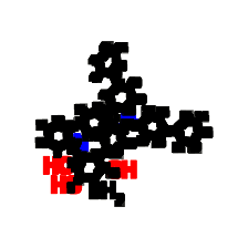 Bc1c(O)c(O)c(-n2c3ccccc3c3ccccc32)c(-c2ccc(N(c3ccc(-c4ccccc4)cc3)c3ccc(-c4ccccc4)cc3)cc2)c1O